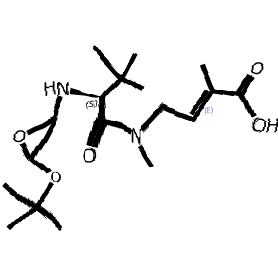 C/C(=C\CN(C)C(=O)[C@@H](NC1OC1OC(C)(C)C)C(C)(C)C)C(=O)O